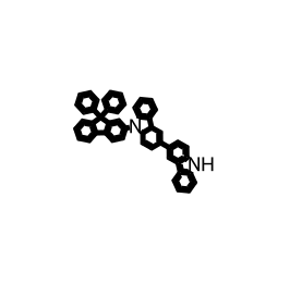 C1=CC2C(C=C1c1ccc3[nH]c4ccccc4c3c1)c1ccccc1N2c1ccc2c(c1)C(c1ccccc1)(c1ccccc1)c1ccccc1-2